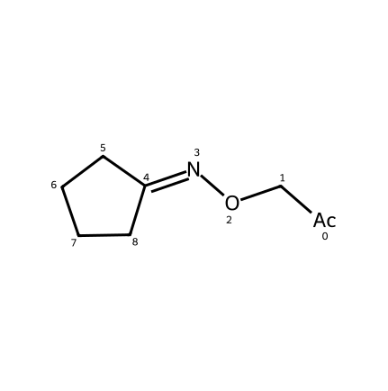 CC(=O)CON=C1CCCC1